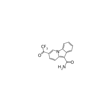 NC(=O)c1c2ccccc2n2cc(C(=O)C(F)(F)F)ccc12